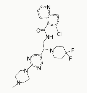 CN1CCN(c2ncc(C(CNC(=O)c3c(Cl)ccc4ncccc34)N3CCC(F)(F)CC3)cn2)CC1